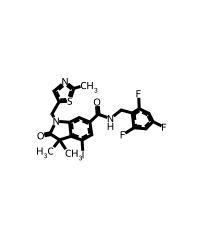 Cc1ncc(CN2C(=O)C(C)(C)c3c(I)cc(C(=O)NCc4c(F)cc(F)cc4F)cc32)s1